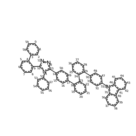 c1ccc(-c2ccccc2-c2nnc(-c3ccc(-c4ccccc4-c4ccccc4-c4ccc(-n5c6ccccc6c6ccccc65)cc4)cc3)n2-c2ccccc2)cc1